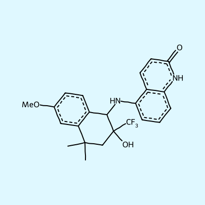 COc1ccc2c(c1)C(C)(C)CC(O)(C(F)(F)F)C2Nc1cccc2[nH]c(=O)ccc12